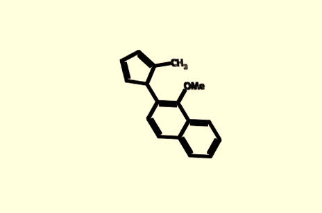 COc1c(C2C=CC=C2C)ccc2ccccc12